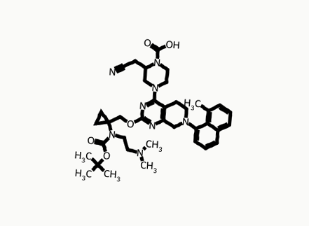 Cc1cccc2cccc(N3CCc4c(nc(OCC5(N(CCN(C)C)C(=O)OC(C)(C)C)CC5)nc4N4CCN(C(=O)O)C(CC#N)C4)C3)c12